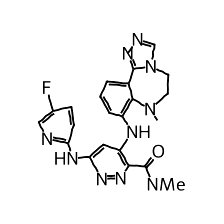 CNC(=O)c1nnc(Nc2ccc(F)cn2)cc1Nc1cccc2c1N(C)CCn1cnnc1-2